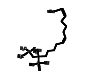 CCCCCCCC/C=C\CCC/C=C\CCCCC(O)(C[N+](C)(C)C)P(=O)(O)O